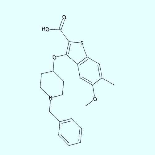 COc1cc2c(OC3CCN(Cc4ccccc4)CC3)c(C(=O)O)sc2cc1C